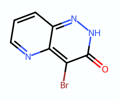 O=c1[nH]nc2cccnc2c1Br